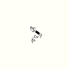 [Au].[Cu].[O]=[Zr].[Zn]